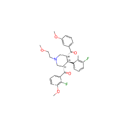 COCCN1C[C@H](C(=O)c2cccc(OC)c2)[C@@H](c2cccc(F)c2C)[C@H](C(=O)c2cccc(OC)c2F)C1